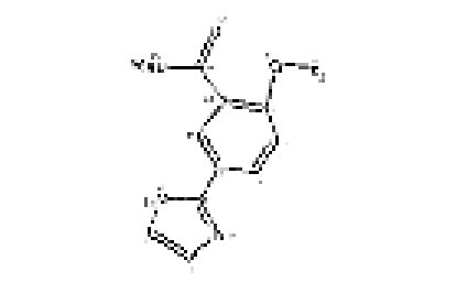 CCOc1ccc(-c2ncc[nH]2)cc1C(=O)OC